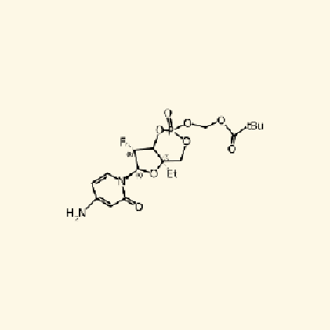 CC[C@@]12COP(=O)(OCOC(=O)C(C)(C)C)OC1[C@@H](F)[C@H](n1ccc(N)cc1=O)O2